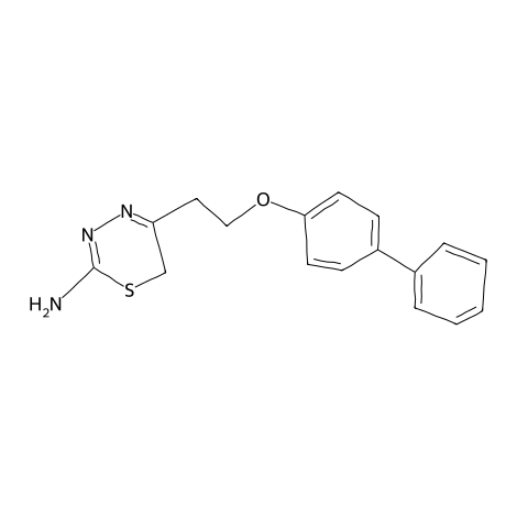 NC1=NN=C(CCOc2ccc(-c3ccccc3)cc2)CS1